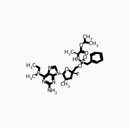 CCN(C)c1nc(N)nc2c1ncn2[C@@H]1O[C@](F)(COP(=O)(Cc2ccccc2)N[C@@H](C)C(=O)OC(C)C)C[C@@H]1C